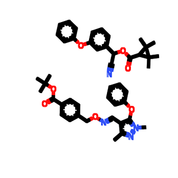 CC1(C)C(C(=O)OC(C#N)c2cccc(Oc3ccccc3)c2)C1(C)C.Cc1nn(C)c(Oc2ccccc2)c1/C=N/OCc1ccc(C(=O)OC(C)(C)C)cc1